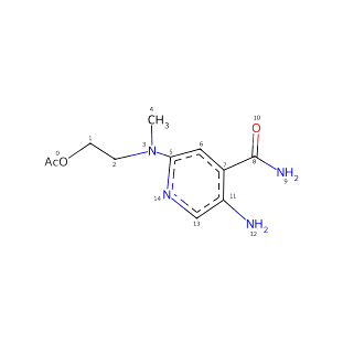 CC(=O)OCCN(C)c1cc(C(N)=O)c(N)cn1